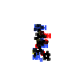 Nc1nc(C(=NOC2C=CCC2)C(=O)NC2C(=O)N3C(C(=O)O)=C(CSc4nnn[nH]4)CS[C@@H]23)ns1